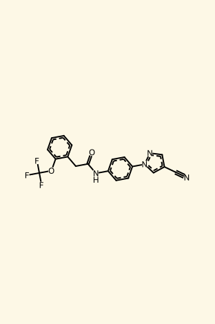 N#Cc1cnn(-c2ccc(NC(=O)Cc3ccccc3OC(F)(F)F)cc2)c1